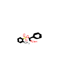 Cc1ccccc1S(=O)(=O)OC(CO)c1ccccc1